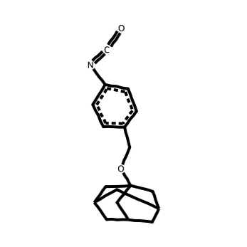 O=C=Nc1ccc(COC23CC4CC(CC(C4)C2)C3)cc1